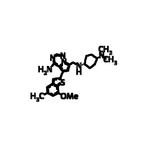 COc1cc(C)cc2cc(-c3cc(CN[C@H]4CC[C@@H](N(C)C)CC4)n4ncnc(N)c34)sc12